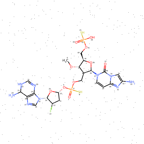 CO[C@H]1C(COP(=O)(S)O[C@@H]2C[C@@H](F)[C@H](n3cnc4c3N=CNC4N)O2)[C@H](n2ccc3nc(N)cn3c2=O)O[C@@H]1COP(=O)(O)S